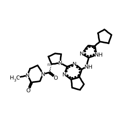 CN1CCN(C(=O)[C@@H]2CCCN2c2nc3c(c(Nc4ncc(C5CCCC5)[nH]4)n2)CCC3)CC1=O